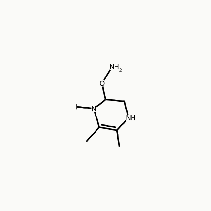 CC1=C(C)N(I)C(ON)CN1